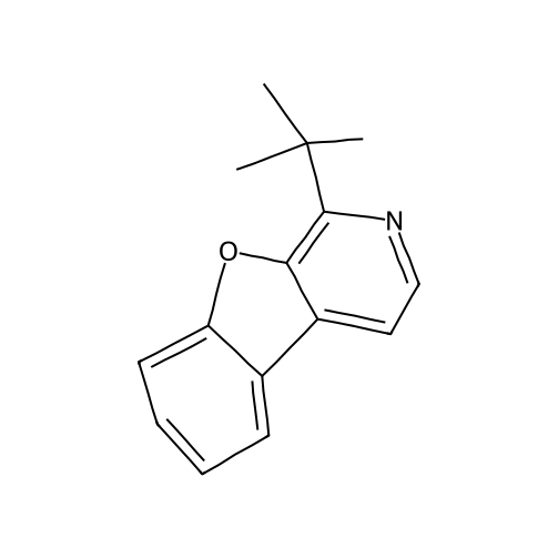 CC(C)(C)c1nccc2c1oc1ccccc12